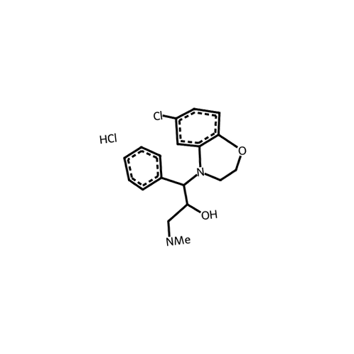 CNCC(O)C(c1ccccc1)N1CCOc2ccc(Cl)cc21.Cl